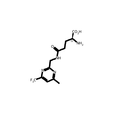 Cc1cc(C(F)(F)F)nc(CNC(=O)CC[C@H](N)C(=O)O)n1